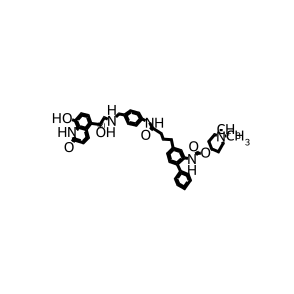 C[N+]1(C)CCC(OC(=O)Nc2cc(CCCC(=O)Nc3ccc(CNC[C@H](O)c4ccc(O)c5[nH]c(=O)ccc45)cc3)ccc2-c2ccccc2)CC1